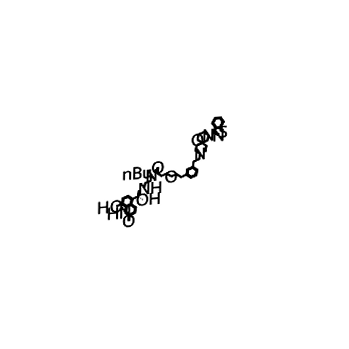 CCCCN(CCNC[C@H](O)c1ccc(O)c2[nH]c(=O)ccc12)C(=O)CCOCCc1cccc(CCN2CCC3(CC2)CN(c2nsc4ccccc24)CCO3)c1